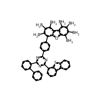 Bc1c(B)c(B)c2c(oc3c(-c4ccc(-c5nc(-c6ccccc6-c6ccccc6)nc(-c6cccc7c6sc6ccccc67)n5)cc4)c(B)c(B)c(B)c32)c1B